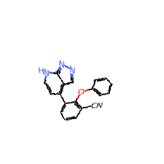 N#Cc1cccc(-c2cc[nH]c3nncc2-3)c1Oc1ccccc1